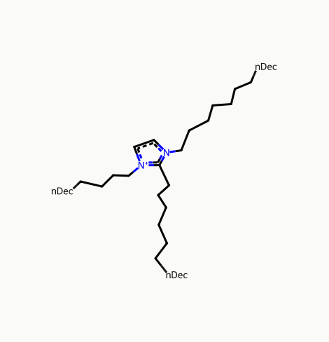 CCCCCCCCCCCCCCCCCn1cc[n+](CCCCCCCCCCCCCC)c1CCCCCCCCCCCCCCCC